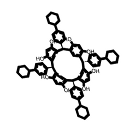 Oc1cc(O)c2cc1[C@H](c1ccc(C3CCCCC3)cc1)c1cc(c(O)cc1O)[C@H](c1ccc(C3CCCCC3)cc1)c1cc(c(O)cc1O)[C@H](c1ccc(C3CCCCC3)cc1)c1cc(c(O)cc1O)[C@H]2c1ccc(C2CCCCC2)cc1